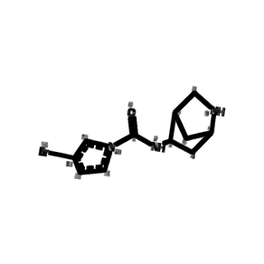 O=C(NC1CC2CC1CN2)n1ccc(Br)c1